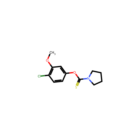 COc1cc(OC(=S)N2CCCC2)ccc1Cl